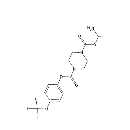 CC(N)OC(=O)N1CCN(C(=O)Oc2ccc(OC(F)(F)F)cc2)CC1